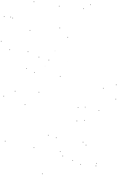 Cc1cc2c(c(CO)c1O)OC(c1cc(O)c(O)c(O)c1)C(O)C2C